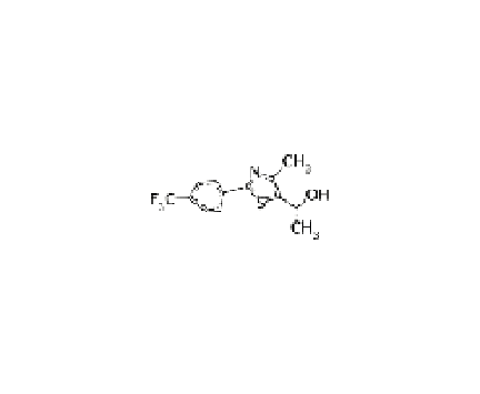 Cc1nc(-c2ccc(C(F)(F)F)cc2)sc1[C@@H](C)O